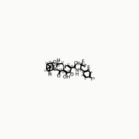 O=C(N[C@@H](c1ccc(F)cc1F)C(F)(F)F)c1cn2c(c(O)c1=O)C(=O)N1C3CC(O[C@H]1C2)C1C2[C@@H]1[C@H]23